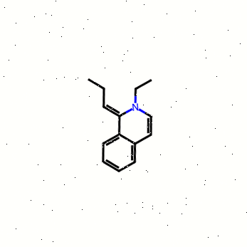 CC/C=C1/c2ccccc2C=CN1CC